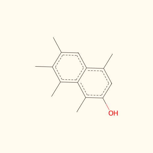 Cc1cc2c(C)cc(O)c(C)c2c(C)c1C